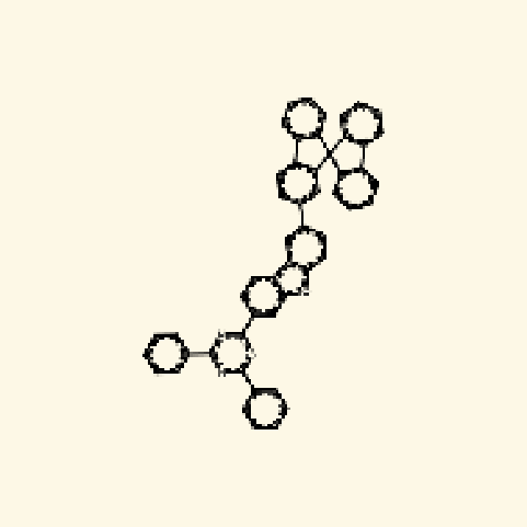 c1ccc(-c2nc(-c3ccccc3)nc(-c3ccc4c(c3)oc3ccc(-c5ccc6c(c5)C5(c7ccccc7-c7ccccc75)c5ccccc5-6)cc34)n2)cc1